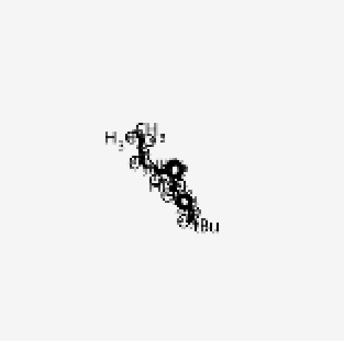 CN(C)C(=O)COC(=O)CNC(=O)c1ccccc1NS(=O)(=O)c1ccc(OC(=O)C(C)(C)C)cc1